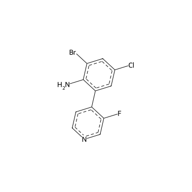 Nc1c(Br)cc(Cl)cc1-c1ccncc1F